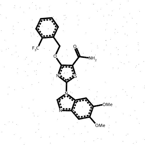 COc1cc2ncn(-c3nc(OCc4ccccc4C(F)(F)F)c(C(N)=O)s3)c2cc1OC